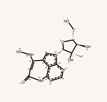 C[C@@]1(O)[C@H](O)[C@@H](CO)O[C@H]1n1cc2c3c(ncnc31)NC(=O)C=C2NO